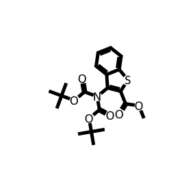 COC(=O)c1sc2ccccc2c1N(C(=O)OC(C)(C)C)C(=O)OC(C)(C)C